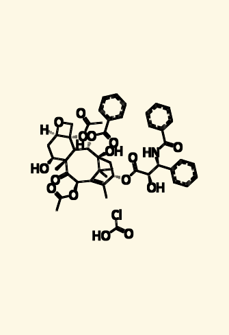 CC(=O)O[C@H]1C(=O)[C@@]2(C)[C@H]([C@H](OC(=O)c3ccccc3)[C@]3(O)C[C@H](OC(=O)[C@H](O)[C@@H](NC(=O)c4ccccc4)c4ccccc4)C(C)=C1C3(C)C)[C@]1(OC(C)=O)CO[C@@H]1C[C@@H]2O.O=C(O)Cl